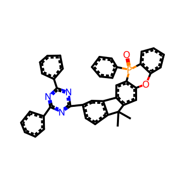 CC1(C)c2ccc(-c3nc(-c4ccccc4)nc(-c4ccccc4)n3)cc2-c2cc3c(cc21)Oc1ccccc1P3(=O)c1ccccc1